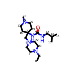 CCN1CCN(CC2(NC(=O)NCC(C)C)CCN(C)CC2)CC1